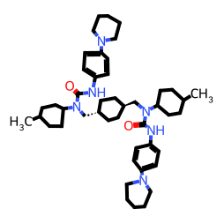 CC1CCC(N(C[C@H]2CC[C@H](CN(C(=O)Nc3ccc(N4CCCCC4)cc3)C3CCC(C)CC3)CC2)C(=O)Nc2ccc(N3CCCCC3)cc2)CC1